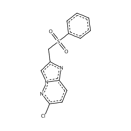 O=S(=O)(Cc1cn2nc(Cl)ccc2n1)c1ccccc1